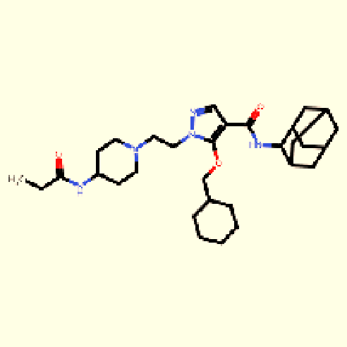 CCC(=O)NC1CCN(CCn2ncc(C(=O)NC3C4CC5CC(C4)CC3C5)c2OCC2CCCCC2)CC1